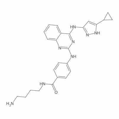 NCCCCNC(=O)c1ccc(Nc2nc(Nc3cc(C4CC4)[nH]n3)c3ccccc3n2)cc1